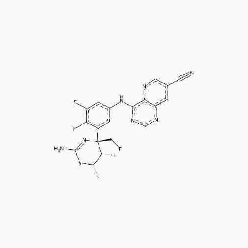 C[C@@H]1SC(N)=N[C@](CF)(c2cc(Nc3ncnc4cc(C#N)cnc34)cc(F)c2F)[C@@H]1C